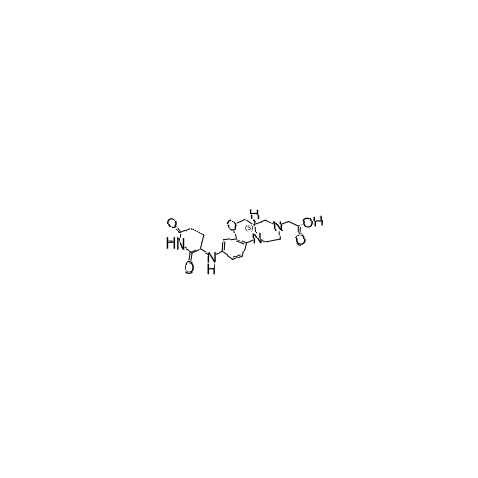 O=C(O)CN1CCN2c3ccc(NC4CCC(=O)NC4=O)cc3OC[C@@H]2C1